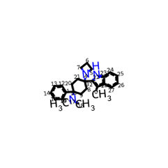 Cc1c(C2(N3CCC3)CCC(c3ccccc3)(N(C)C)CC2)[nH]c2ccccc12